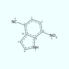 N#Cc1ccc([N+](=O)[O-])c2[nH]ccc12